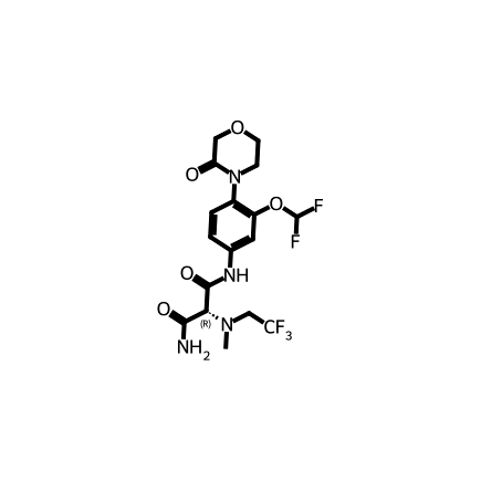 CN(CC(F)(F)F)[C@H](C(N)=O)C(=O)Nc1ccc(N2CCOCC2=O)c(OC(F)F)c1